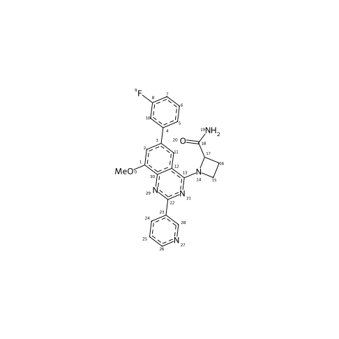 COc1cc(-c2cccc(F)c2)cc2c(N3CCC3C(N)=O)nc(-c3cccnc3)nc12